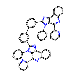 c1ccc(-n2c(-c3cccc(-c4cccc(-c5nc6c7ccccc7nc(-c7ccccn7)c6n5-c5ccccc5)c4)c3)nc3c4ccccc4nc(-c4ccccn4)c32)cc1